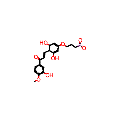 COc1ccc(C(=O)C=CC2C(O)=CC(OCCCP(=O)=O)=CC2O)cc1O